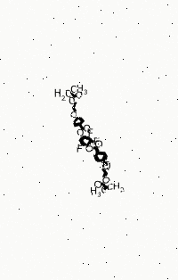 C=C(C)C(=O)OCCCOc1ccc(C(=O)Oc2cc(F)c(OC(=O)c3ccc(OCCCOC(=O)C(=C)C)cc3)c(F)c2F)cc1